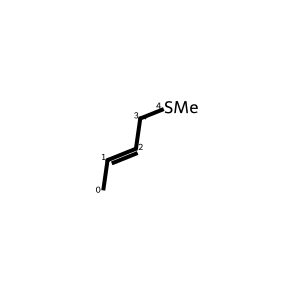 C/C=C/[CH]SC